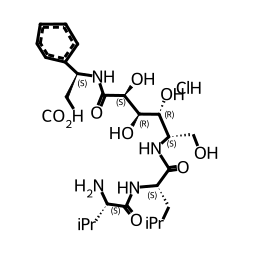 CC(C)C[C@H](NC(=O)[C@@H](N)C(C)C)C(=O)N[C@@H](CO)[C@@H](O)[C@@H](O)[C@H](O)C(=O)N[C@@H](CC(=O)O)c1ccccc1.Cl